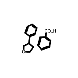 O=C(O)c1ccccc1.c1ccc(C2CCOC2)cc1